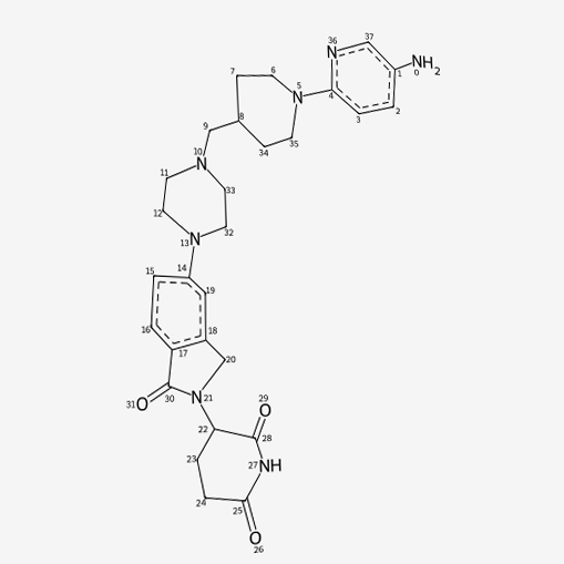 Nc1ccc(N2CCC(CN3CCN(c4ccc5c(c4)CN(C4CCC(=O)NC4=O)C5=O)CC3)CC2)nc1